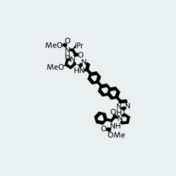 COC(=O)N[C@H](C(=O)N1C[C@@H](OC)C[C@H]1c1ncc(-c2ccc(-c3ccc4cc(-c5cnc([C@@H]6CCCN6C(=O)[C@H](NC(=O)OC)c6ccccc6)[nH]5)ccc4c3)cc2)[nH]1)C(C)C